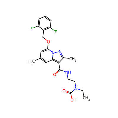 CCN(CCNC(=O)c1c(C)nn2c(OCc3c(F)cccc3F)cc(C)cc12)C(=O)O